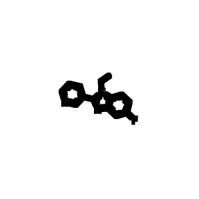 CCn1c(-c2cccnc2)nc2cc(F)ccc21